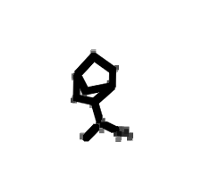 CN(N)C1CC2CCC1C2